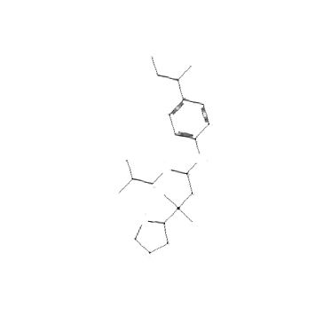 CCC(C)c1ccc(OC(CC(C)(C)C2CCCO2)OCC(C)C)cc1